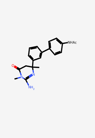 CC(=O)Nc1ccc(-c2cccc(C3(C)CC(=O)N(C)C(N)=N3)c2)cc1